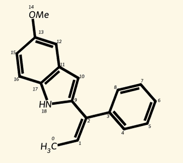 C/C=C(/c1ccccc1)c1cc2cc(OC)ccc2[nH]1